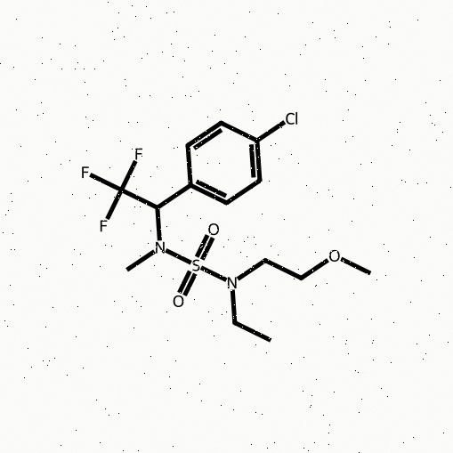 CCN(CCOC)S(=O)(=O)N(C)C(c1ccc(Cl)cc1)C(F)(F)F